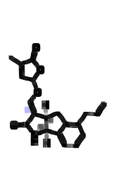 C=CCc1cccc2c1C[C@@H]1/C(=C\OC3C=C(C)C(=O)O3)C(=O)N[C@H]21